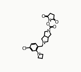 O=C(ON1C(=O)CCC1=O)N1CC2CN(Cc3ccc(Cl)cc3N3CCC3)CC2C1